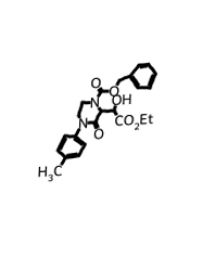 CCOC(=O)C(O)C1C(=O)N(c2ccc(C)cc2)CCN1C(=O)OCc1ccccc1